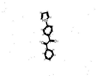 O=C(C(=O)c1ccc([SH]2C=CC=C2)cc1)c1ccccc1